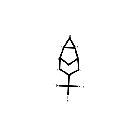 FC(F)(F)C1CC2CC(C1)C1CC21